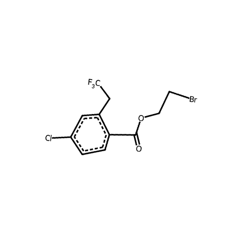 O=C(OCCBr)c1ccc(Cl)cc1CC(F)(F)F